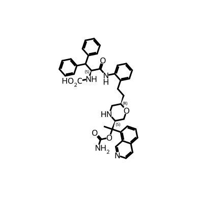 CC(OC(N)=O)(c1cccc2ccncc12)[C@@H]1CO[C@H](CCc2ccccc2NC(=O)[C@@H](NC(=O)O)C(c2ccccc2)c2ccccc2)CN1